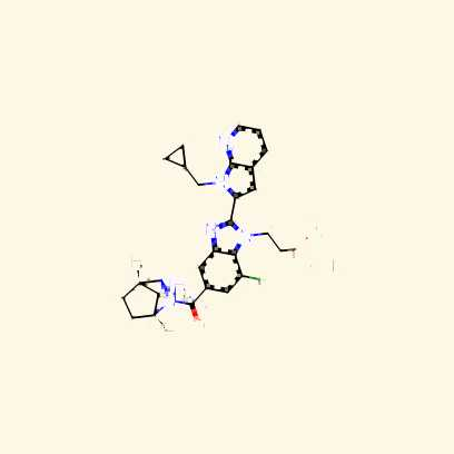 C[S@+]([O-])CCn1c(-c2cc3cccnc3n2CC2CC2)nc2cc(C(=O)N3C[C@H]4CC[C@@H]3[C@@H]4N)cc(F)c21